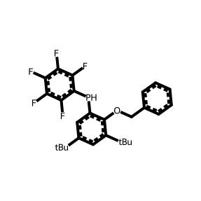 CC(C)(C)c1cc(Pc2c(F)c(F)c(F)c(F)c2F)c(OCc2ccccc2)c(C(C)(C)C)c1